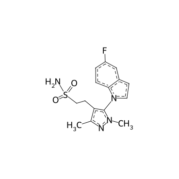 Cc1nn(C)c(-n2ccc3cc(F)ccc32)c1CCS(N)(=O)=O